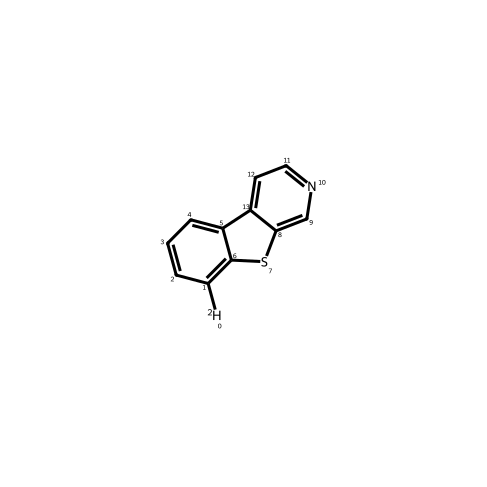 [2H]c1cccc2c1sc1cnccc12